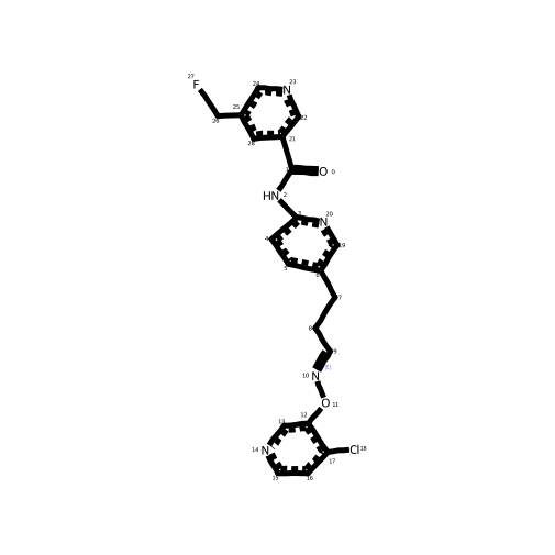 O=C(Nc1ccc(CC/C=N/Oc2cnccc2Cl)cn1)c1cncc(CF)c1